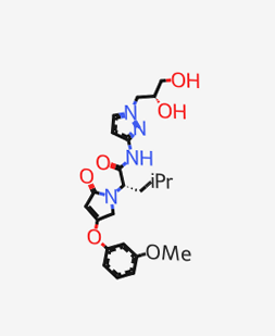 COc1cccc(OC2=CC(=O)N([C@@H](CC(C)C)C(=O)Nc3ccn(C[C@@H](O)CO)n3)C2)c1